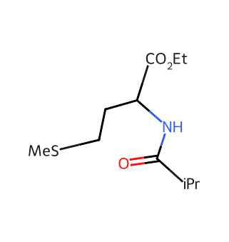 CCOC(=O)C(CCSC)NC(=O)C(C)C